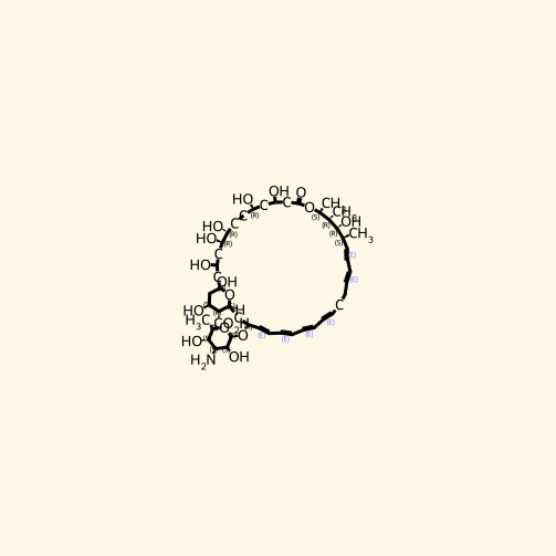 C[C@@H]1[C@H](O)[C@@H](C)/C=C/C=C/CC/C=C/C=C/C=C/C=C/[C@H](O[C@@H]2O[C@H](C)[C@@H](O)[C@H](N)[C@@H]2O)C[C@@H]2O[C@](O)(CC(O)C[C@@H](O)[C@H](O)CC[C@@H](O)CC(O)CC(=O)O[C@H]1C)C[C@H](O)[C@H]2C(=O)O